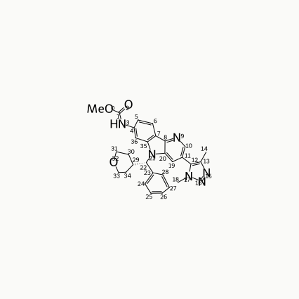 COC(=O)Nc1ccc2c3ncc(-c4c(C)nnn4C)cc3n([C@H](c3ccccc3)C3CCOCC3)c2c1